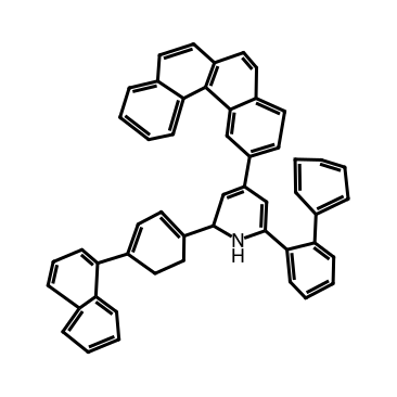 C1=C(c2ccc3ccc4ccc5ccccc5c4c3c2)C=C(c2ccccc2-c2ccccc2)NC1C1=CC=C(c2cccc3ccccc23)CC1